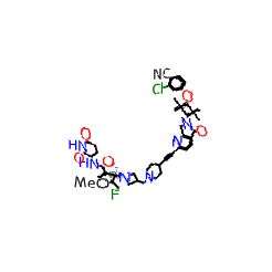 C=C(C(=O)NC1CCC(=O)NC1=O)[C@](C)(C(CF)OC)N1CC(CN2CCC(C#Cc3ccc4c(n3)CN([C@H]3C(C)(C)[C@H](Oc5ccc(C#N)c(Cl)c5)C3(C)C)C4=O)CC2)C1